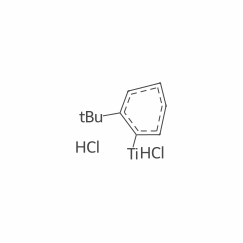 CC(C)(C)c1cccc[c]1[Ti].Cl.Cl